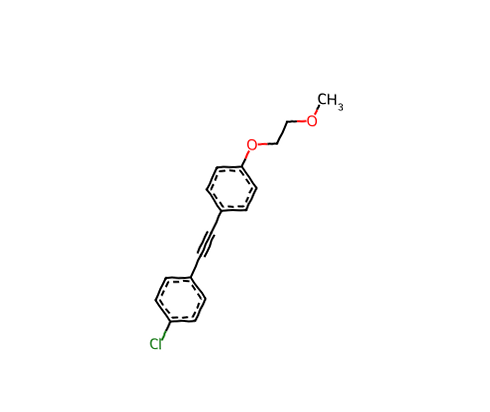 COCCOc1ccc(C#Cc2ccc(Cl)cc2)cc1